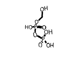 O=P(O)(O)OP(=O)(O)OCO